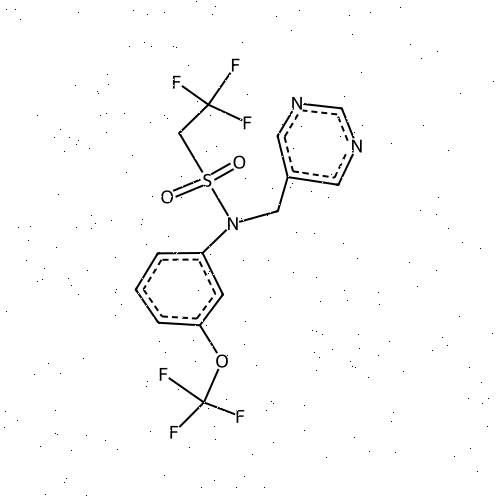 O=S(=O)(CC(F)(F)F)N(Cc1cncnc1)c1cccc(OC(F)(F)F)c1